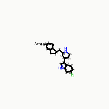 CC(=O)Nc1ccc2c(c1)CCC2CC1CC(c2c[nH]c3cc(Cl)ccc23)=CCN1